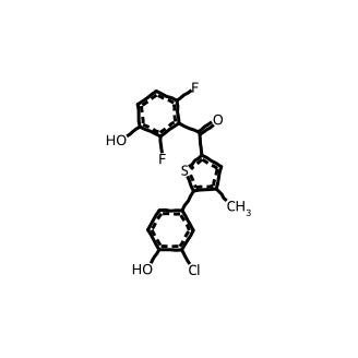 Cc1cc(C(=O)c2c(F)ccc(O)c2F)sc1-c1ccc(O)c(Cl)c1